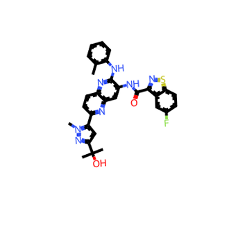 Cc1ccccc1Nc1nc2ccc(-c3cc(C(C)(C)O)nn3C)nc2cc1NC(=O)c1nsc2ccc(F)cc12